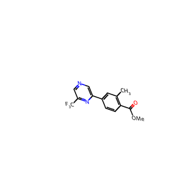 COC(=O)c1ccc(-c2cncc(C(F)(F)F)n2)cc1C